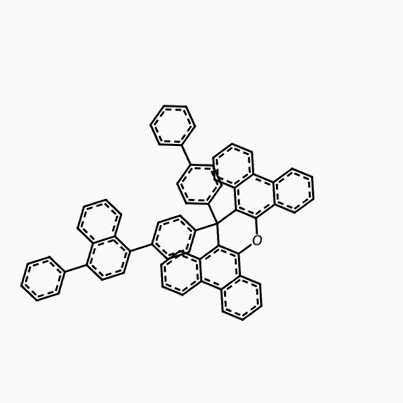 c1ccc(-c2ccc(C3(c4ccc(-c5ccc(-c6ccccc6)c6ccccc56)cc4)c4c(c5ccccc5c5ccccc45)Oc4c3c3ccccc3c3ccccc43)cc2)cc1